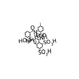 Cc1ccc(S(=O)(=O)Nc2cc(S(=O)(=O)O)cc3cc(S(=O)(=O)O)cc(S(=O)(=O)O)c23)c(NC(=O)c2cccc(N)c2)c1